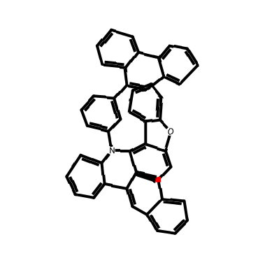 c1cc(-c2cc3ccccc3c3ccccc23)cc(N(c2ccccc2-c2ccc3ccccc3c2)c2cccc3oc4ccccc4c23)c1